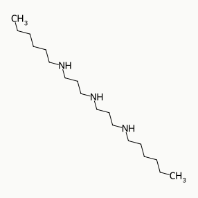 CCCCCCNCCCNCCCNCCCCCC